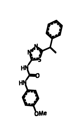 COc1ccc(NC(=O)Nc2nnc(C(C)c3ccccc3)s2)cc1